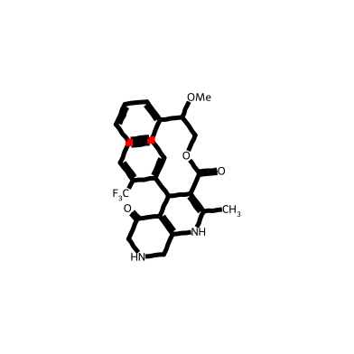 COC(COC(=O)C1=C(C)NC2=C(C(=O)CNC2)C1c1ccccc1C(F)(F)F)c1ccccc1